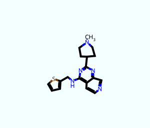 CN1CCC(c2nc(NCc3cccs3)c3ccncc3n2)CC1